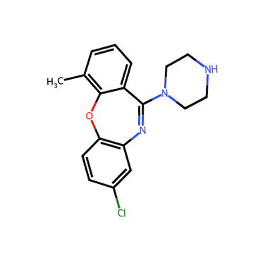 Cc1cccc2c1Oc1ccc(Cl)cc1N=C2N1CCNCC1